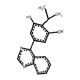 CC(C)c1c(O)cc(-c2ncnc3ccccc23)cc1O